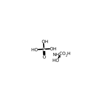 N.O=C(O)O.O=P(O)(O)O